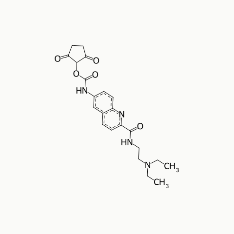 CCN(CC)CCNC(=O)c1ccc2cc(NC(=O)OC3C(=O)CCC3=O)ccc2n1